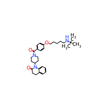 CC(C)(C)NCCCCCOc1ccc(C(=O)N2CCC(N3C(=O)CCc4ccccc43)CC2)cc1